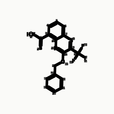 NC(=S)c1cccc2nc(C(F)(F)F)c(OCc3ccccc3)nc12